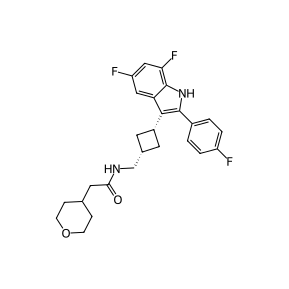 O=C(CC1CCOCC1)NC[C@H]1C[C@@H](c2c(-c3ccc(F)cc3)[nH]c3c(F)cc(F)cc32)C1